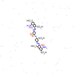 CS(=O)(=O)c1cc(/N=N/c2c(S(=O)(=O)O)cc3cc(S(=O)(=O)O)cc(N)c3c2O)ccc1/C=C/c1ccc(/N=N/c2c(S(=O)(=O)O)cc3cc(S(=O)(=O)O)cc(N)c3c2O)cc1S(=O)(=O)O